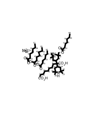 CC1(C)CC(C(CCCCCCCC(=O)O)(C(=O)O)C2CC(C)(C)NC(C)(C)C2)CC(C)(C)N1.CCCCCCC(=O)[O-].CCCCCCC(=O)[O-].CCCCCCC(=O)[O-].CCCCCCC(=O)[O-].[Ni+2].[Ni+2]